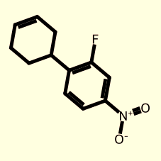 O=[N+]([O-])c1ccc(C2CC=CCC2)c(F)c1